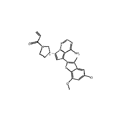 C=CC(=O)N1CC[C@@H](c2cc(-c3sc4c(OC)cc(Cl)cc4c3C)c3c(N)ncnn23)C1